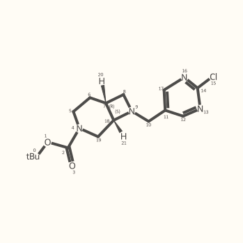 CC(C)(C)OC(=O)N1CC[C@@H]2CN(Cc3cnc(Cl)nc3)[C@@H]2C1